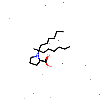 CCCCCCC(C)(CCCCCC)N1CCCC1C(=O)O